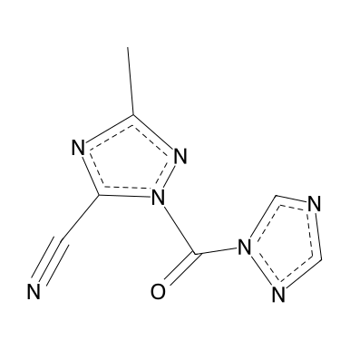 Cc1nc(C#N)n(C(=O)n2cncn2)n1